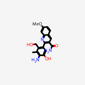 COc1ccc2cc(C(N)=O)c(-c3cc(O)c(N)c(C)c3CO)nc2c1